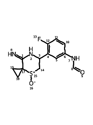 N=C1NC(c2cc(NC=O)ccc2F)C[S+]([O-])C12CC2